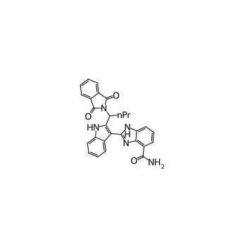 CCCC(c1[nH]c2ccccc2c1-c1nc2c(C(N)=O)cccc2[nH]1)N1C(=O)c2ccccc2C1=O